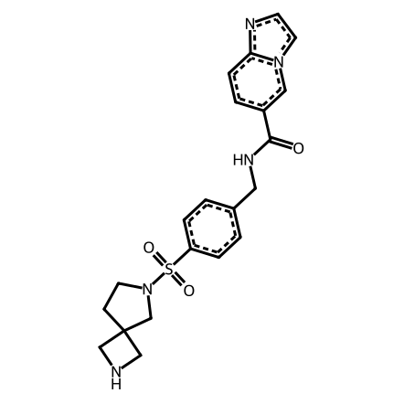 O=C(NCc1ccc(S(=O)(=O)N2CCC3(CNC3)C2)cc1)c1ccc2nccn2c1